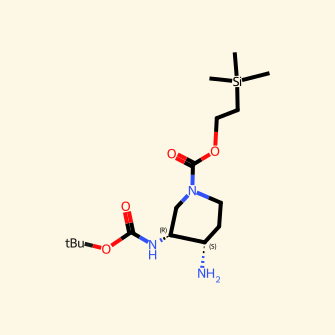 CC(C)(C)OC(=O)N[C@@H]1CN(C(=O)OCC[Si](C)(C)C)CC[C@@H]1N